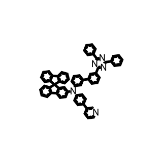 c1ccc(-c2nc(-c3ccccc3)nc(-c3cccc(-c4cccc(N(c5ccc(-c6cccnc6)cc5)c5ccc6c(c5)C5(c7ccccc7-c7ccccc75)c5ccccc5-6)c4)c3)n2)cc1